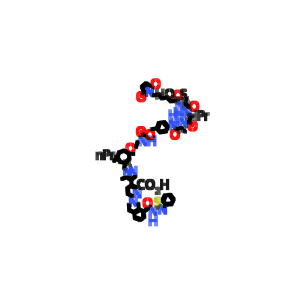 CCCC1(C)CCC(C)(OCCNC(=O)OCc2ccc(NC(=O)[C@H](C)NC(=O)[C@@H](NC(=O)[C@H](CS(=O)(=O)O)NC(=O)CCCCCN3C(=O)C=CC3=O)C(C)C)cc2)C[C@@](C)(Cn2ncc(-c3ccc(N4CCc5cccc(C(=O)Nc6nc7ccccc7s6)c5C4)nc3C(=O)O)c2C)C1